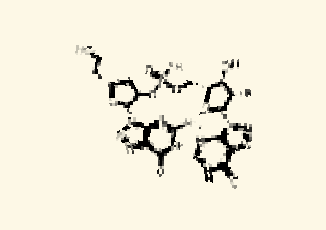 Nc1nc2c(nnn2[C@@H]2O[C@H](CCO)C[C@H]2OP(=O)(S)OC[C@H]2O[C@@H](n3nnc4c(=O)[nH]cnc43)[C@@H](F)[C@@H]2O)c(=O)[nH]1